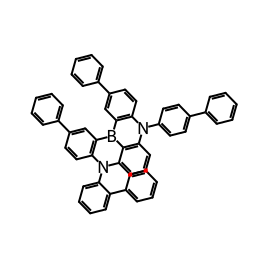 c1ccc(-c2ccc(N3c4ccc(-c5ccccc5)cc4B4c5cc(-c6ccccc6)ccc5N(c5ccccc5-c5ccccc5)c5cccc3c54)cc2)cc1